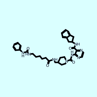 O=C(CCCCCNC(=O)Nc1ccccc1)NCC1CCN(C(=O)Nc2nccnc2C(=O)NC2Cc3ccccc3C2)CC1